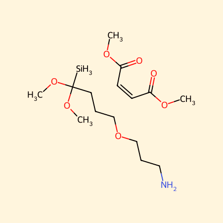 COC(=O)/C=C\C(=O)OC.COC([SiH3])(CCCOCCCN)OC